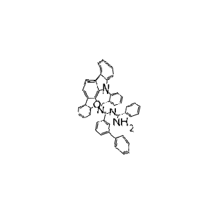 N/C(=N\C(=N/Cc1ccccc1-n1c2ccccc2c2ccc3c4ccccc4oc3c21)c1cccc(-c2ccccc2)c1)c1ccccc1